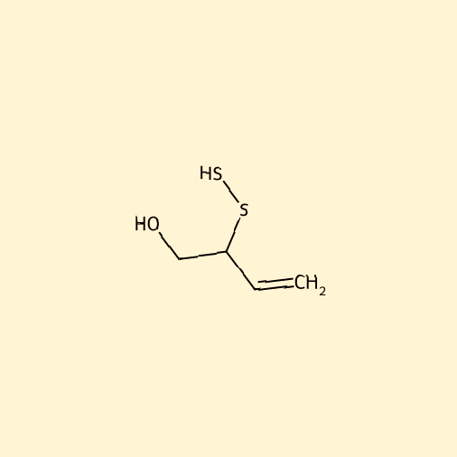 C=CC(CO)SS